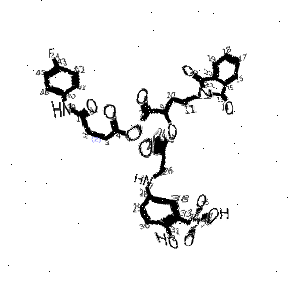 O=C(/C=C\C(=O)OC(=O)C(CCN1C(=O)c2ccccc2C1=O)OC(=O)CNc1ccc(O)c(S(=O)(=O)O)c1)Nc1ccc(F)cc1